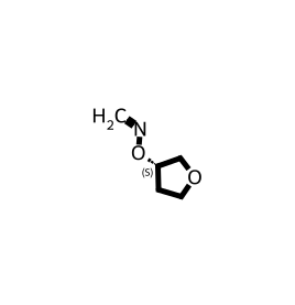 C=NO[C@H]1CCOC1